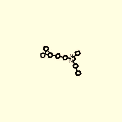 c1ccc(-c2ccc(-c3cc(-c4ccccc4)nc(-c4ccc(-c5ccc(-c6ccc7c(c6)-c6ccccc6C76CCCCC6)cc5)cc4)n3)cc2)cc1